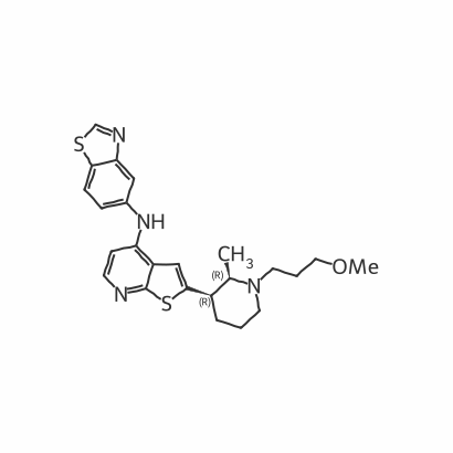 COCCCN1CCC[C@@H](c2cc3c(Nc4ccc5scnc5c4)ccnc3s2)[C@H]1C